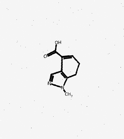 Cn1ncc2c1CCC=C2C(=O)O